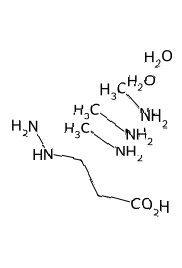 CN.CN.CN.NNCCC(=O)O.O.O